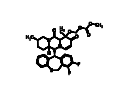 COC(=O)OCOC1(C)C(=O)C=CN2C1C(=O)N1C[C@H](C)CC[C@H]1N2[C@@H]1c2ccccc2SCc2c1ccc(F)c2F